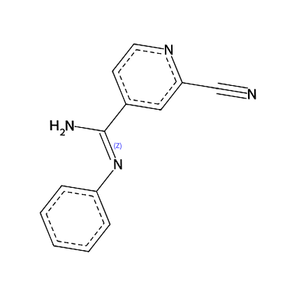 N#Cc1cc(/C(N)=N/c2ccccc2)ccn1